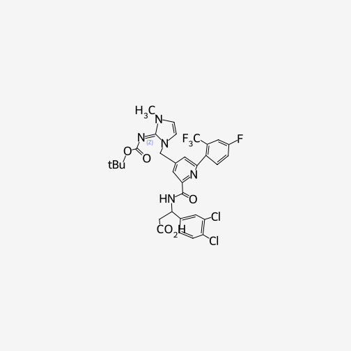 Cn1ccn(Cc2cc(C(=O)NC(CC(=O)O)c3ccc(Cl)c(Cl)c3)nc(-c3ccc(F)cc3C(F)(F)F)c2)/c1=N\C(=O)OC(C)(C)C